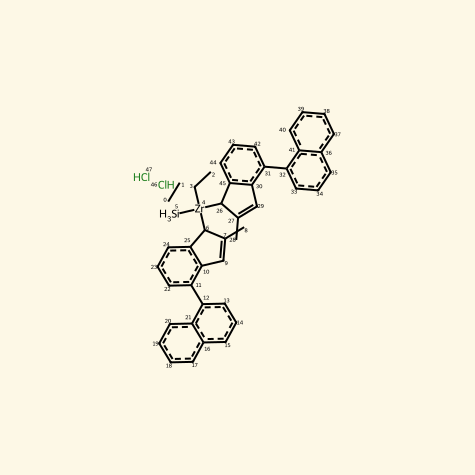 CC.C[CH2][Zr]([SiH3])([CH]1C(C)=Cc2c(-c3cccc4ccccc34)cccc21)[CH]1C(C)=Cc2c(-c3cccc4ccccc34)cccc21.Cl.Cl